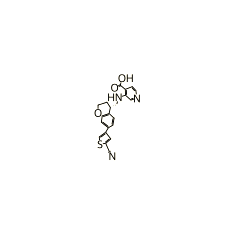 N#Cc1cc(-c2ccc3c(c2)OCC[C@@H]3CNc2cnccc2C(=O)O)cs1